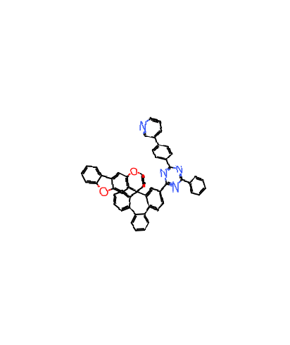 c1ccc(-c2nc(-c3ccc(-c4cccnc4)cc3)nc(-c3ccc4c(c3)C3(c5ccccc5Oc5cc6c(cc53)oc3ccccc36)c3ccccc3-c3ccccc3-4)n2)cc1